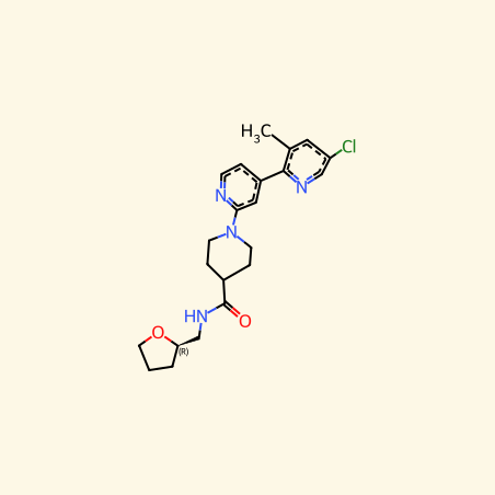 Cc1cc(Cl)cnc1-c1ccnc(N2CCC(C(=O)NC[C@H]3CCCO3)CC2)c1